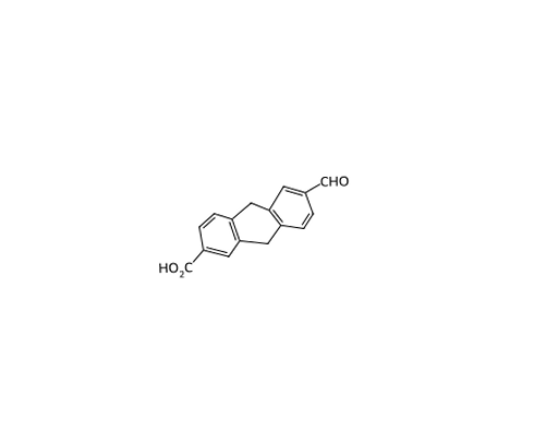 O=Cc1ccc2c(c1)Cc1ccc(C(=O)O)cc1C2